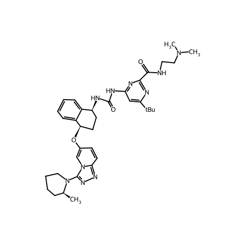 C[C@H]1CCCCN1c1nnc2ccc(O[C@@H]3CC[C@H](NC(=O)Nc4cc(C(C)(C)C)nc(C(=O)NCCN(C)C)n4)c4ccccc43)cn12